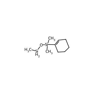 C[SiH2]O[Si](C)(C)C1=CCCCC1